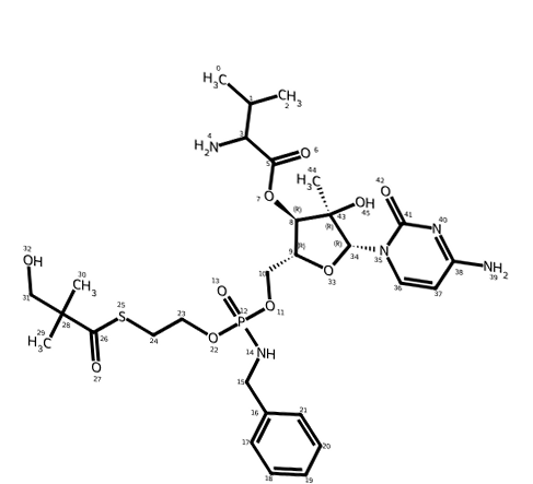 CC(C)C(N)C(=O)O[C@@H]1[C@@H](COP(=O)(NCc2ccccc2)OCCSC(=O)C(C)(C)CO)O[C@@H](n2ccc(N)nc2=O)[C@]1(C)O